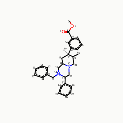 COC(=O)c1cccc([C@]2(C)CC3CN(Cc4ccccc4)C(c4ccccc4)CN3CC2C)c1